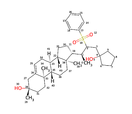 C[C@H](C(CC1(O)CCCC1)S(=O)(=O)c1ccccc1)[C@H]1CC[C@H]2[C@@H]3CC=C4C[C@@](C)(O)CC[C@]4(C)[C@H]3CC[C@]12C